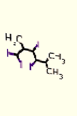 CC(C)C(I)C(I)C(C)C(I)I